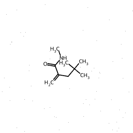 C=C(CC(C)(C)C)C(=O)NC